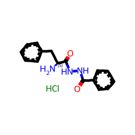 Cl.N[C@@H](Cc1ccccc1)C(=O)NNC(=O)c1ccccc1